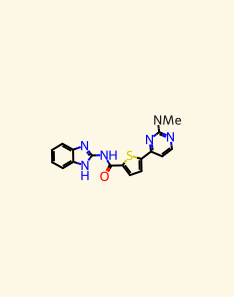 CNc1nccc(-c2ccc(C(=O)Nc3nc4ccccc4[nH]3)s2)n1